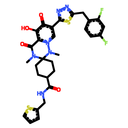 CN1C(=O)c2c(O)c(=O)c(-c3nnc(Cc4ccc(F)cc4F)s3)cn2N(C)C12CCC(C(=O)NCc1cccs1)CC2